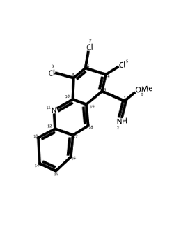 COC(=N)c1c(Cl)c(Cl)c(Cl)c2nc3ccccc3cc12